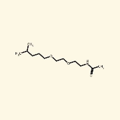 CC(=O)NCCOCCOCCCC(C)C